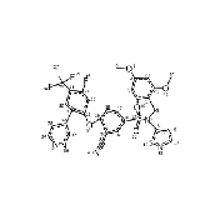 COc1ccc(CN(c2ncns2)S(=O)(=O)c2ccc(Oc3cc(F)c(C(F)(F)F)cc3-c3ccnnc3)c(C#N)c2)c(OC)c1